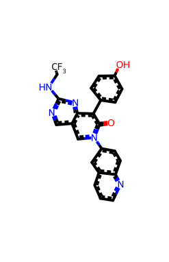 O=c1c(-c2ccc(O)cc2)c2nc(NCC(F)(F)F)ncc2cn1-c1ccc2ncccc2c1